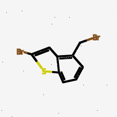 BrCc1cccc2sc(Br)cc12